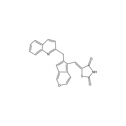 O=C1NC(=O)C(=Cc2c(Cc3ccc4ccccc4n3)cc3coccc2-3)S1